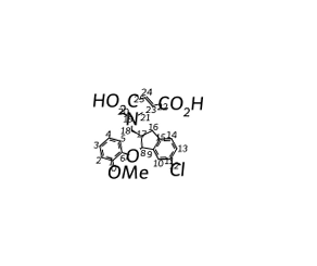 COc1ccccc1O[C@@H]1c2cc(Cl)ccc2C[C@@H]1CN(C)C.O=C(O)C=CC(=O)O